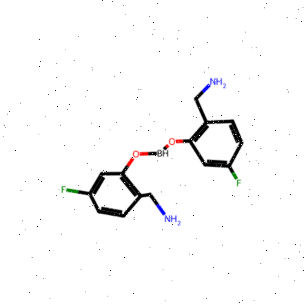 NCc1ccc(F)cc1OBOc1cc(F)ccc1CN